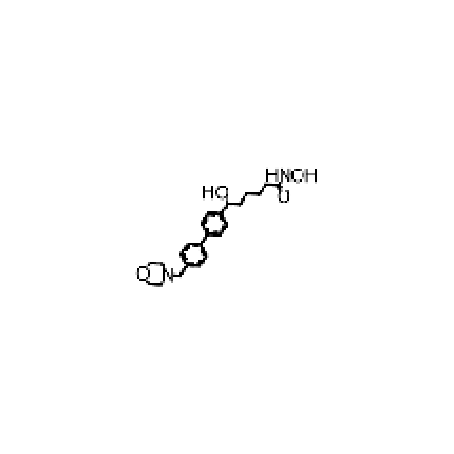 O=C(CCCC[C@@H](O)c1ccc(-c2ccc(CN3CCOCC3)cc2)cc1)NO